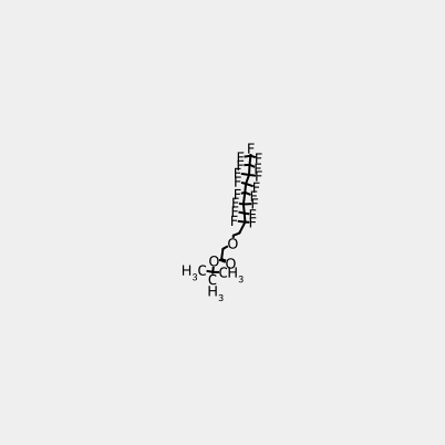 CC(C)(C)OC(=O)COCCC(F)(F)C(F)(F)C(F)(F)C(F)(F)C(F)(F)C(F)(F)C(F)(F)C(F)(F)F